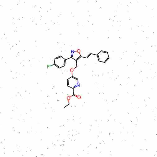 CCOC(=O)c1ccc(OCc2c(-c3ccc(F)cc3)noc2/C=C/c2ccccc2)cn1